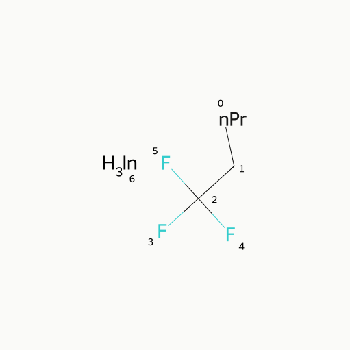 CCCCC(F)(F)F.[InH3]